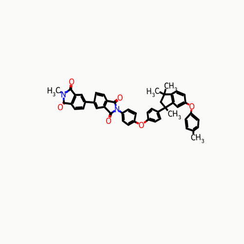 Cc1ccc(Oc2ccc3c(c2)C(C)(c2ccc(Oc4ccc(N5C(=O)c6ccc(-c7ccc8c(c7)C(=O)N(C)C8=O)cc6C5=O)cc4)cc2)CC3(C)C)cc1